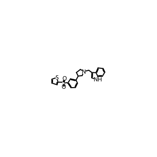 O=S(=O)(c1cccc(C2CCN(Cc3c[nH]c4ccccc34)C2)c1)c1cccs1